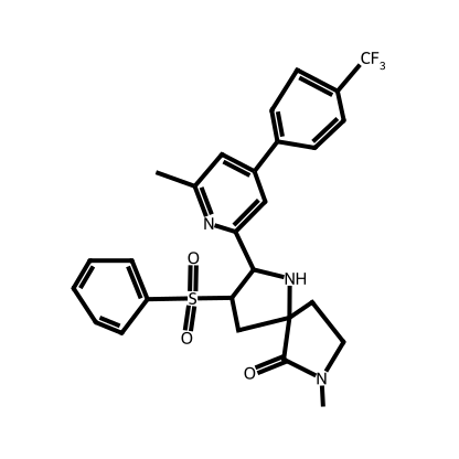 Cc1cc(-c2ccc(C(F)(F)F)cc2)cc(C2NC3(CCN(C)C3=O)CC2S(=O)(=O)c2ccccc2)n1